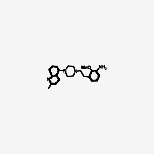 COc1c(N)cccc1CCN1CCN(c2cccc3nc(C)ccc23)CC1